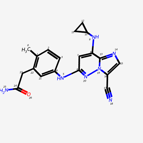 Cc1ccc(Nc2cc(NC3CC3)c3ncc(C#N)n3n2)cc1CC(N)=O